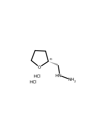 Cl.Cl.NNC[C@H]1CCCO1